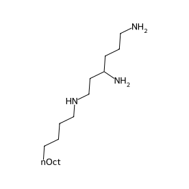 CCCCCCCCCCCCNCCC(N)CCCN